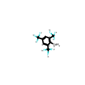 FC(F)(F)c1cc(C(F)(F)F)[c]([GaH2])c(C(F)(F)F)c1